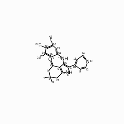 CC1(C)CC(=O)c2c([nH]c(-c3ccncc3)c2Nc2cc(F)c(F)c(F)c2)C1